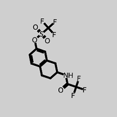 O=C(NC1CCc2ccc(OS(=O)(=O)C(F)(F)F)cc2C1)C(F)(F)F